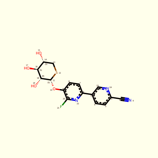 N#Cc1ccc(-c2ccc(O[C@H]3SC[C@@H](O)[C@H](O)[C@H]3O)c(F)n2)cn1